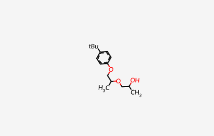 CC(O)COC(C)COc1ccc(C(C)(C)C)cc1